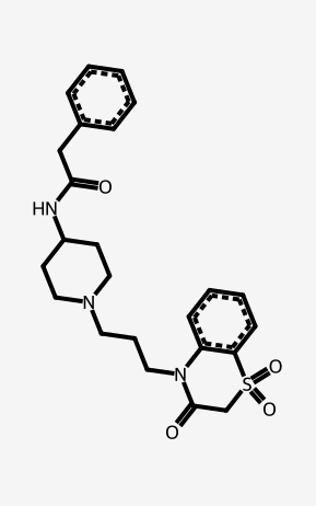 O=C(Cc1ccccc1)NC1CCN(CCCN2C(=O)CS(=O)(=O)c3ccccc32)CC1